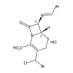 CC(C)C=N[C@@H]1C(=O)N2C(C(=O)O)=C(C(Cl)Br)CS[C@@H]12.Cl